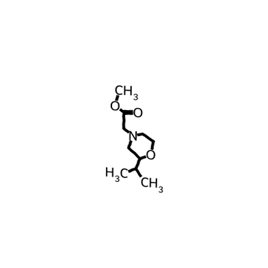 COC(=O)CN1CCOC(C(C)C)C1